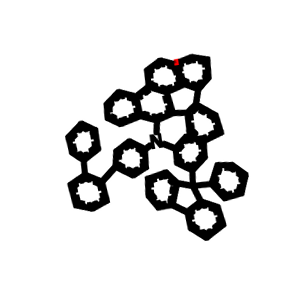 c1ccc(-c2ccccc2-c2ccc(N(c3cccc(C4(c5ccccc5)c5ccccc5-c5ccccc54)c3)c3c(-c4ccccc4-c4ccccc4)c4ccccc4c4ccccc34)cc2)cc1